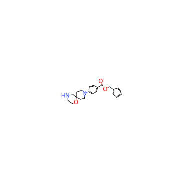 O=C(OCc1ccccc1)c1ccc(N2CCC3(CC2)CNCCO3)cc1